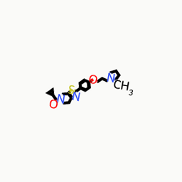 CC1CCCN1CCCOc1ccc(-c2nc3c(s2)CN(C(=O)C2CC2)CC3)cc1